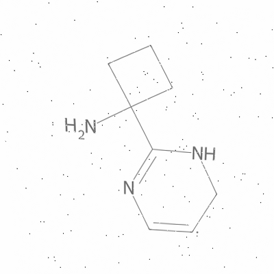 NC1(C2=NC=[C]CN2)CCC1